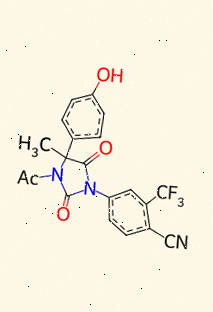 CC(=O)N1C(=O)N(c2ccc(C#N)c(C(F)(F)F)c2)C(=O)C1(C)c1ccc(O)cc1